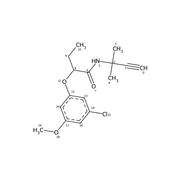 C#CC(C)(C)NC(=O)C(CC)Oc1cc(Cl)cc(OC)c1